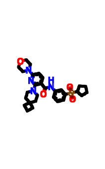 O=C(Nc1cccc(S(=O)(=O)C2CCCC2)c1)c1ccc(N2CCOCC2)nc1N1CCC2(CCC2)CC1